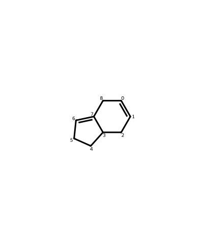 C1=CCC2CCC=C2C1